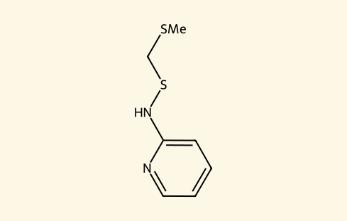 CSCSNc1ccccn1